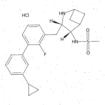 CS(=O)(=O)N[C@H]1C2CC(C2)N[C@H]1Cc1cccc(-c2cccc(C3CC3)c2)c1F.Cl